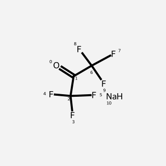 O=C(C(F)(F)F)C(F)(F)F.[NaH]